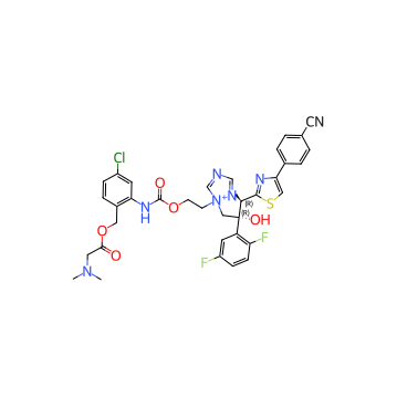 C[C@@H](c1nc(-c2ccc(C#N)cc2)cs1)[C@](O)(C[N+]1(CCOC(=O)Nc2cc(Cl)ccc2COC(=O)CN(C)C)C=NC=N1)c1cc(F)ccc1F